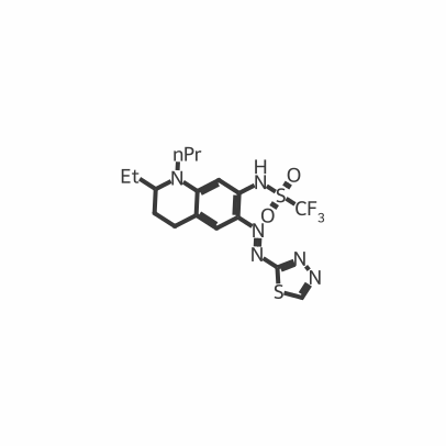 CCCN1c2cc(NS(=O)(=O)C(F)(F)F)c(N=Nc3nncs3)cc2CCC1CC